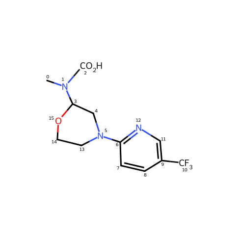 CN(C(=O)O)C1CN(c2ccc(C(F)(F)F)cn2)CCO1